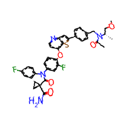 COC[C@H](C)N(Cc1ccc(-c2cc3nccc(Oc4ccc(N(C(=O)C5(C(N)=O)CC5)c5ccc(F)cc5)cc4F)c3s2)cc1)C(C)=O